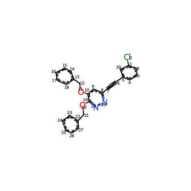 Clc1cccc(C#Cc2cc(OCc3ccccc3)c(OCc3ccccc3)nn2)c1